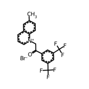 Cc1ccc2c(ccc[n+]2CC(=O)c2cc(C(F)(F)F)cc(C(F)(F)F)c2)c1.[Br-]